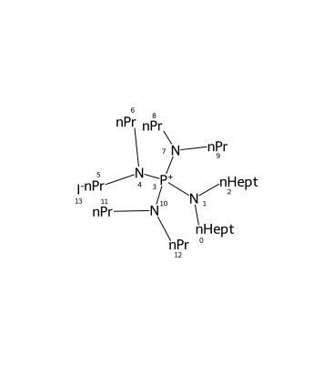 CCCCCCCN(CCCCCCC)[P+](N(CCC)CCC)(N(CCC)CCC)N(CCC)CCC.[I-]